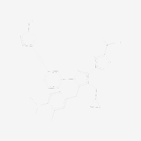 Cc1ccc(C#Cc2cccc(-c3nn(-c4nc(C(=O)O)cs4)c(CC4CC4)c3Cc3ccc([S+](N)[O-])c(F)c3)c2)s1